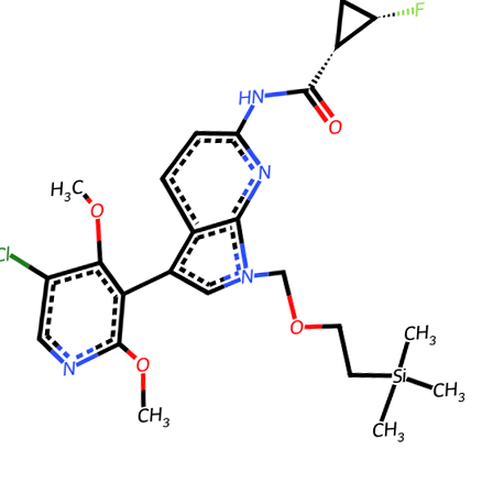 COc1ncc(Cl)c(OC)c1-c1cn(COCC[Si](C)(C)C)c2nc(NC(=O)[C@@H]3C[C@@H]3F)ccc12